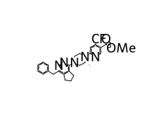 COC(=O)c1cnc(N2CCN(c3nnc(Cc4ccccc4)c4c3CCC4)C[C@H]2C)cc1C(F)(F)F